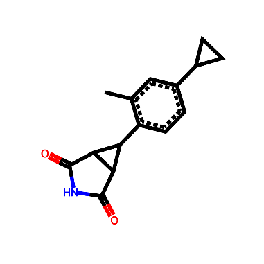 Cc1cc(C2CC2)ccc1C1C2C(=O)NC(=O)C21